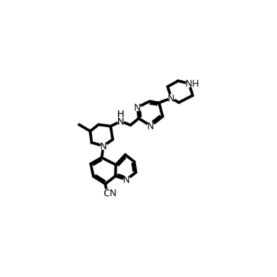 CC1CC(NCc2ncc(N3CCNCC3)cn2)CN(c2ccc(C#N)c3ncccc23)C1